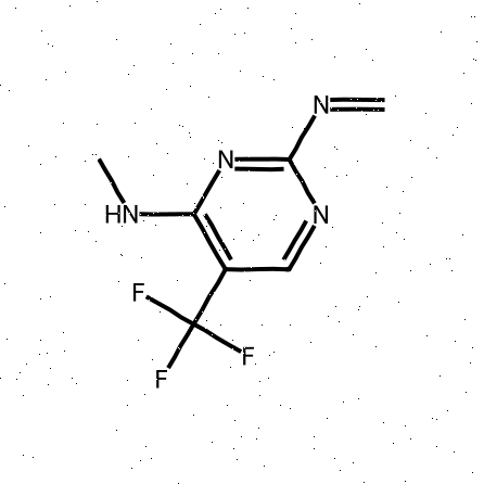 C=Nc1ncc(C(F)(F)F)c(NC)n1